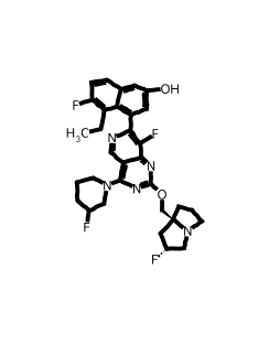 CCc1c(F)ccc2cc(O)cc(-c3ncc4c(N5CCCC(F)C5)nc(OC[C@@]56CCCN5C[C@H](F)C6)nc4c3F)c12